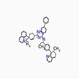 CCC(/N=C(\N=C(/N)C1C=CC(C)(c2cccc3cccnc23)CC1)c1ccc(-c2ccccc2)cc1)c1ccc(C2=c3ncccc3=CCC2C)cc1